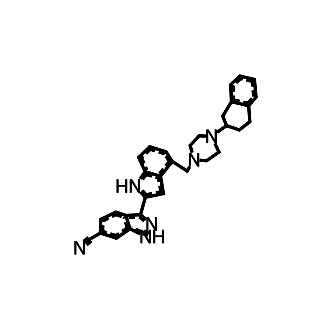 N#Cc1ccc2c(-c3cc4c(CN5CCN(C6CCc7ccccc7C6)CC5)cccc4[nH]3)n[nH]c2c1